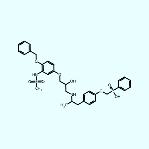 CC(Cc1ccc(OCP(=O)(O)c2ccccc2)cc1)NCC(O)COc1ccc(OCc2ccccc2)c(NS(C)(=O)=O)c1